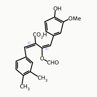 COc1cc(/C=C(OC=O)\C(=C/c2ccc(C)c(C)c2)C(=O)O)ccc1O